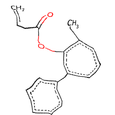 C=CC(=O)Oc1c(C)cccc1-c1ccccc1